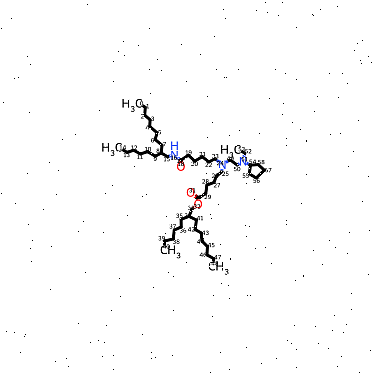 CCCCCCCCC(CCCCCC)CNC(=O)CCCCCN(CCCCCC(=O)OCC(CCCCCC)CCCCCCCC)CCN(CC)C1CCCC1